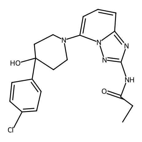 CCC(=O)Nc1nc2cccc(N3CCC(O)(c4ccc(Cl)cc4)CC3)n2n1